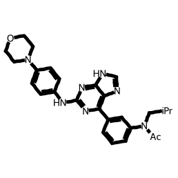 CC(=O)N(CC(C)C)c1cccc(-c2nc(Nc3ccc(N4CCOCC4)cc3)nc3[nH]cnc23)c1